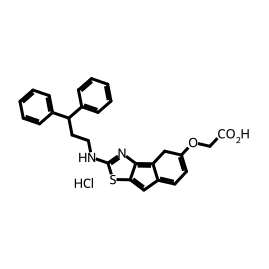 Cl.O=C(O)COC1=CC=C2C=c3sc(NCCC(c4ccccc4)c4ccccc4)nc3=C2C1